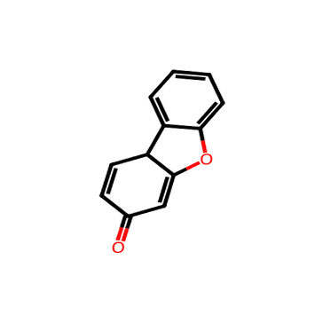 O=C1C=CC2C(=C1)Oc1ccccc12